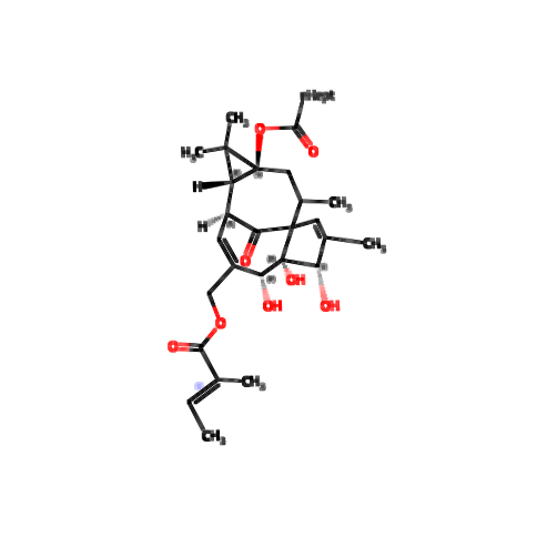 C/C=C(\C)C(=O)OCC1=C[C@@H]2C(=O)C3(C=C(C)[C@H](O)[C@@]3(O)[C@@H]1O)C(C)C[C@]1(OC(=O)CCCCCCC)[C@H]2C1(C)C